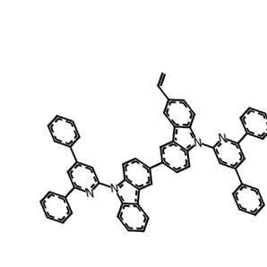 C=Cc1ccc2c(c1)c1cc(-c3ccc4c(c3)c3ccccc3n4-c3cc(-c4ccccc4)cc(-c4ccccc4)n3)ccc1n2-c1cc(-c2ccccc2)cc(-c2ccccc2)n1